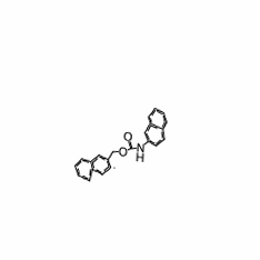 O=C(Nc1ccc2ccccc2c1)OCc1[c]cc2ccccc2c1